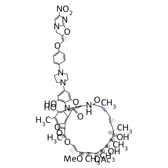 CO[C@H]1/C=C/O[C@@]2(C)Oc3c(C)c(O)c4c(=O)c(c5oc6cc(N7CCN(c8ccc(O/C=C9\Cn%10cc([N+](=O)[O-])nc%10O9)cc8)CC7)cc(O)c6nc-5c4c3C2=O)NC(=O)/C(C)=C\C=C\[C@H](C)[C@H](O)[C@@H](C)[C@@H](O)[C@@H](C)[C@H](OC(C)=O)[C@@H]1C